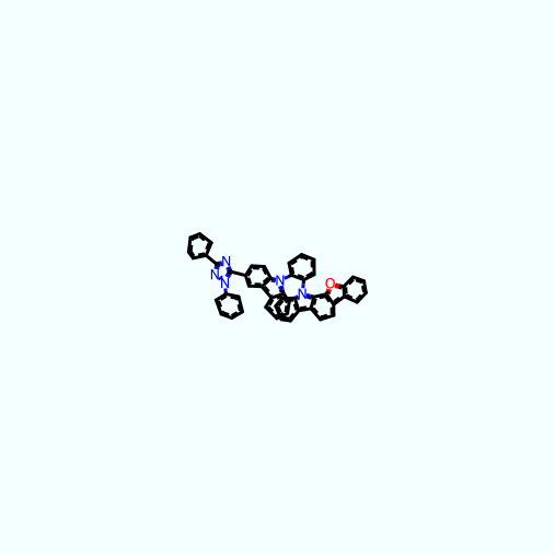 c1ccc(-c2nc(-c3ccc4c(c3)c3ccccc3n4-c3ccccc3-n3c4ccccc4c4ccc5c6ccccc6oc5c43)n(-c3ccccc3)n2)cc1